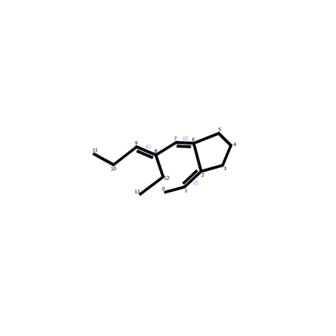 C/C=C1/CCC/C1=C/C(=C/CC)CC